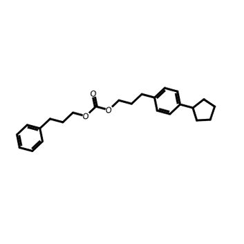 O=C(OCCCc1ccccc1)OCCCc1ccc(C2CCCC2)cc1